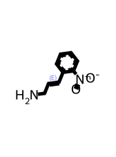 NC/C=C/c1ccccc1[N+](=O)[O-]